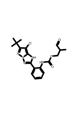 CC(C=O)COC(=O)Nc1ccccc1-c1nn2nc(C(C)(C)C)c(Cl)c2[nH]1